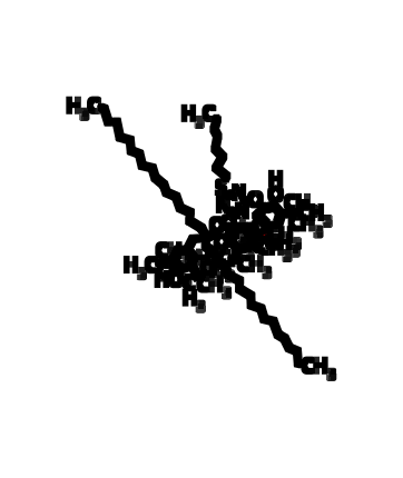 CCCCCCCCCCCCCCCCCCC(CCCCCCCCCCCCCCCCCC)(Cc1cc(C(C)(C)C)c(O)c(C(C)(C)C)c1)C(=O)Oc1c(Oc2nc(Oc3cc(C(C)(C)C)cc(C(C)(C)C)c3O)nc(SCCCCCCCC)n2)cc(C(C)(C)C)cc1C(C)(C)C